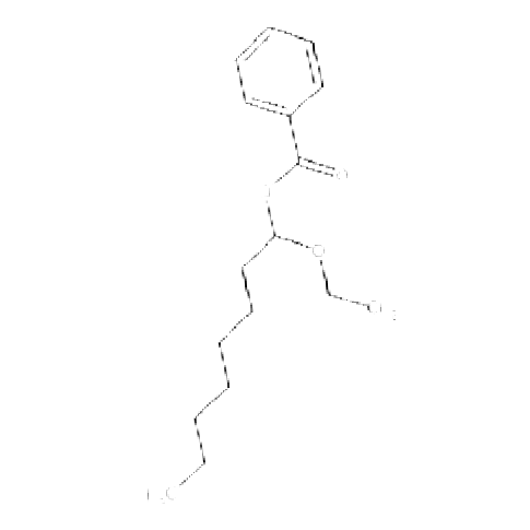 CCCCCCCC(OCC)OC(=O)c1ccccc1